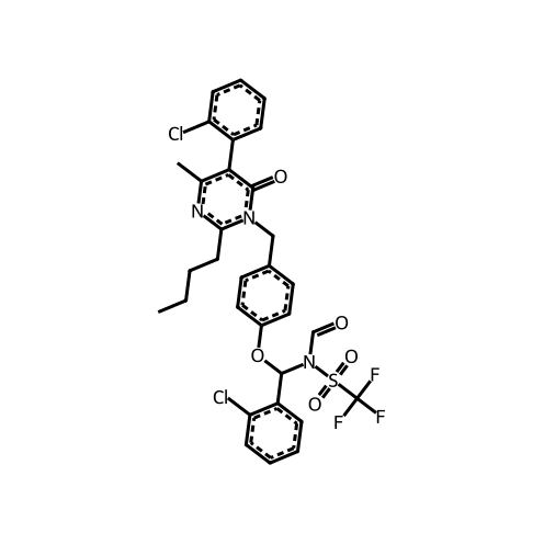 CCCCc1nc(C)c(-c2ccccc2Cl)c(=O)n1Cc1ccc(OC(c2ccccc2Cl)N(C=O)S(=O)(=O)C(F)(F)F)cc1